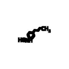 CCCCc1ccc(NO)cc1